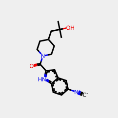 [C-]#[N+]c1ccc2[nH]c(C(=O)N3CCC(CC(C)(C)O)CC3)cc2c1